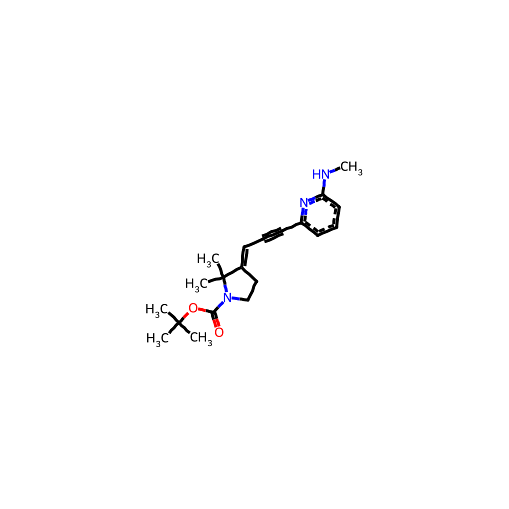 CNc1cccc(C#C/C=C2\CCN(C(=O)OC(C)(C)C)C2(C)C)n1